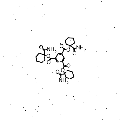 NC(=O)C1(OC(=O)c2cc(C(=O)OC3(C(N)=O)CCCCC3)cc(C(=O)OC3(C(N)=O)CCCCC3)c2)CCCCC1